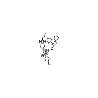 CCCCc1nc2ccc(NCS(=O)(=O)c3ccc(Cl)cc3)cc2n1-c1ccc(-c2ccccc2)c(C(=O)O)c1C